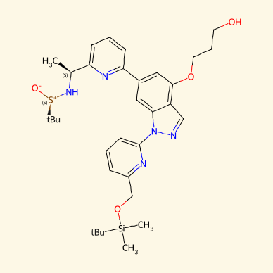 C[C@H](N[S@+]([O-])C(C)(C)C)c1cccc(-c2cc(OCCCO)c3cnn(-c4cccc(CO[Si](C)(C)C(C)(C)C)n4)c3c2)n1